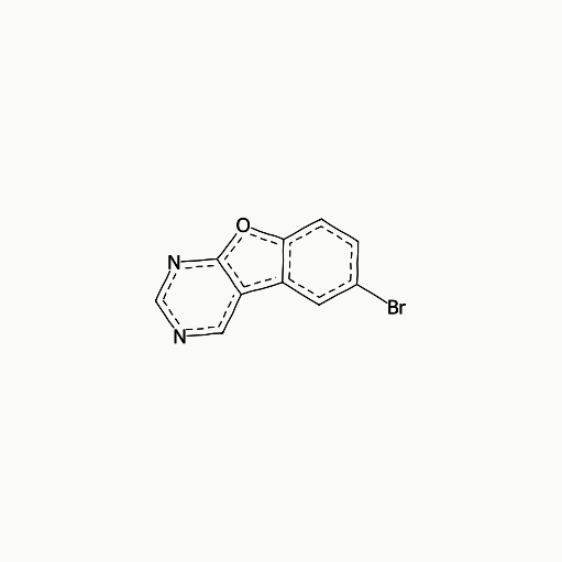 Brc1ccc2oc3ncncc3c2c1